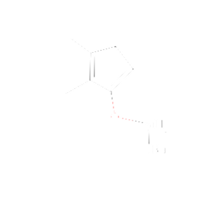 CC1=C(C)C(O[SiH2]C(C)(C)C)=[C]C1